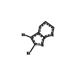 CCc1nn2ncccc2c1CC